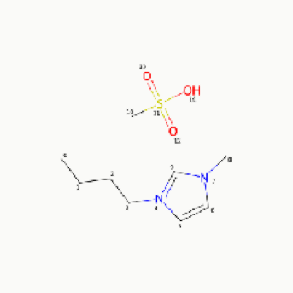 CCCC[n+]1ccn(C)c1.CS(=O)(=O)O